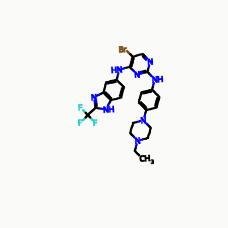 CCN1CCN(c2ccc(Nc3ncc(Br)c(Nc4ccc5[nH]c(C(F)(F)F)nc5c4)n3)cc2)CC1